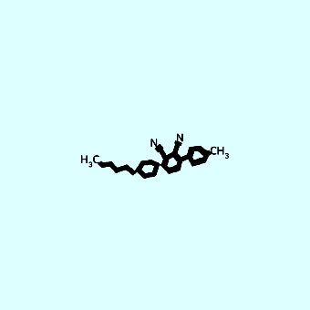 CCCCCC[C@H]1CC[C@H](c2ccc(-c3ccc(C)cc3)c(C#N)c2C#N)CC1